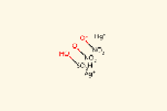 O=S(=O)(O)O.O=[N+]([O-])[O-].O=[N+]([O-])[O-].[Ag+].[Hg+]